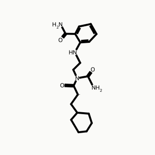 NC(=O)c1ccccc1NCCN(C(N)=O)C(=O)[CH]CC1CCCCC1